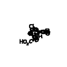 CC(C(C)C(c1ccc(Cl)cc1)N1CCN(S(C)(=O)=O)CC1)C1NC(=O)C(CC(=O)O)CC1c1cccc(Cl)c1